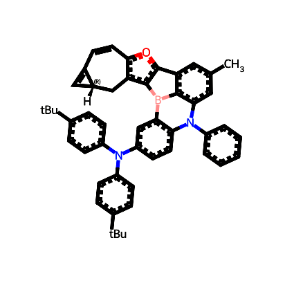 Cc1cc2c3c(c1)N(c1ccccc1)c1ccc(N(c4ccc(C(C)(C)C)cc4)c4ccc(C(C)(C)C)cc4)cc1B3c1c-2oc2c1C[C@@H]1C=C1C=C2